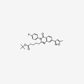 Cc1cc(-c2ccc3c(=O)n(-c4ccc(F)cc4)c(CCCCC(=O)OC(C)(C)C)nc3c2)no1